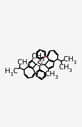 CC1=CC2=C(C=CC=CC2C(C)C)C1[Si](c1ccccc1)(c1ccccc1)C1C(C)=CC2=C1C=CC=CC2C(C)C